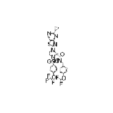 O=C(NCc1ccc(OC(F)F)cc1)[C@H]1CN(c2nc3nc(C4CC4)ncc3s2)CCN1S(=O)(=O)c1ccc(OC(F)(F)F)cc1